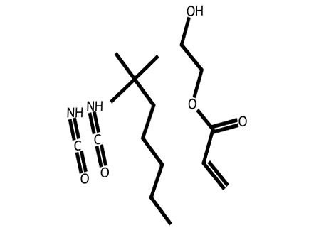 C=CC(=O)OCCO.CCCCCC(C)(C)C.N=C=O.N=C=O